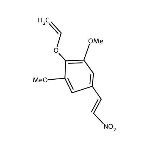 C=COc1c(OC)cc(C=C[N+](=O)[O-])cc1OC